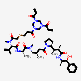 C=CC(=O)N1CN(C(=O)C=C)CN(C(=O)CCSCC(=O)N(C)[C@@H](C(=C)C)C(=O)N[C@H](C(=O)N(C)[C@@H]([C@H](C)CC)[C@@H](CC(=O)N2CCC[C@H]2[C@H](OC)[C@@H](C)C(=O)N[C@H](C)[C@@H](O)c2ccccc2)OC)C(C)C)C1